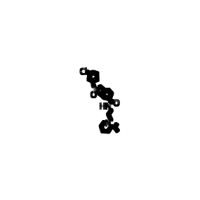 CC(C)C1CCCCN1CCCNC(=O)c1ccc2c(c1)C(=O)N(Cc1cccc(Cl)c1)C2